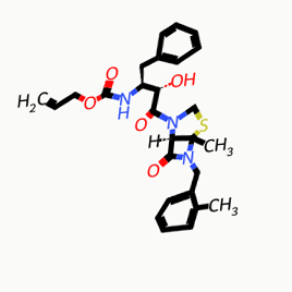 C=CCOC(=O)N[C@@H](Cc1ccccc1)[C@H](O)C(=O)N1CSC2(C)[C@H]1C(=O)N2Cc1ccccc1C